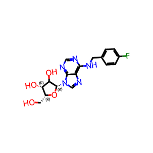 OC[C@H]1O[C@@H](n2cnc3c(NCc4ccc(F)cc4)ncnc32)C(O)[C@H]1O